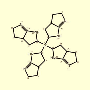 C1CC2C[CH]([Zr]([CH]3CC4CCN=C4N3)([CH]3CC4CCN=C4N3)[CH]3CC4CCN=C4N3)NC2=N1